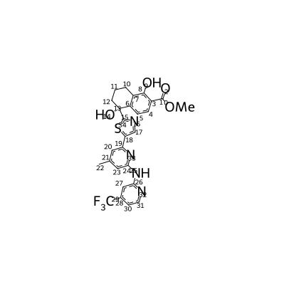 COC(=O)c1ccc2c(c1O)CCC[C@]2(O)c1ncc(-c2cc(C)cc(Nc3cc(C(F)(F)F)ccn3)n2)s1